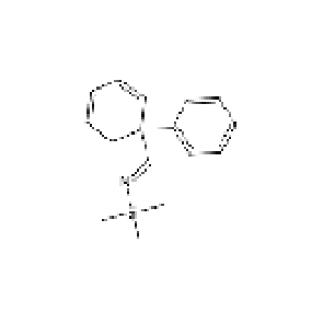 C[Si](C)(C)N=CC1(c2ccccc2)C=CC=CC1